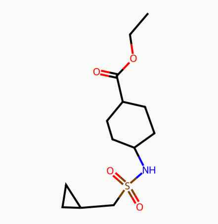 CCOC(=O)C1CCC(NS(=O)(=O)CC2CC2)CC1